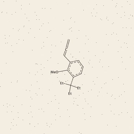 C=C=Cc1cccc(C(CC)(CC)CC)c1OC